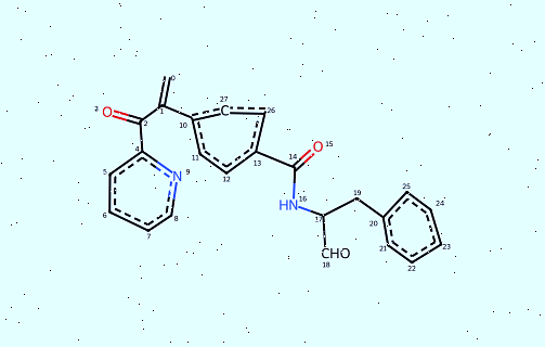 C=C(C(=O)c1ccccn1)c1ccc(C(=O)NC(C=O)Cc2ccccc2)cc1